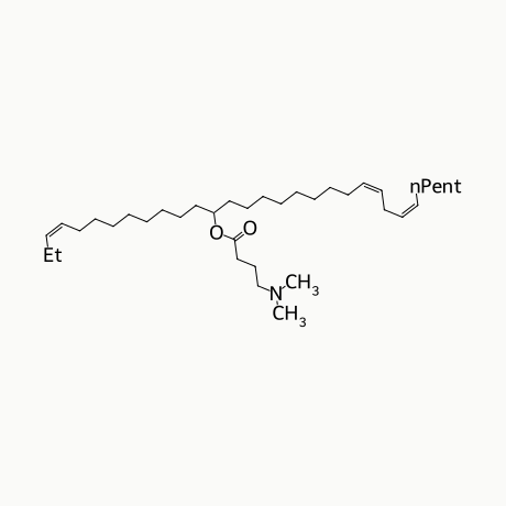 CC/C=C\CCCCCCCCC(CCCCCCCC/C=C\C/C=C\CCCCC)OC(=O)CCCN(C)C